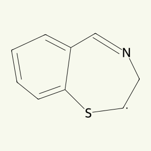 [CH]1CN=Cc2ccccc2S1